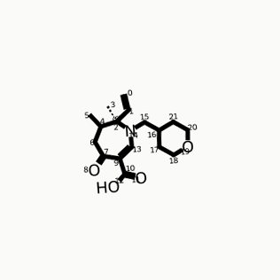 C=C[C@]1(C)C(C)CC(=O)C(C(=O)O)=CN1CC1CCOCC1